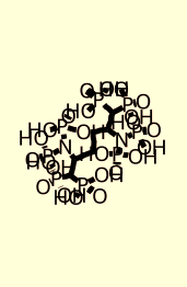 O=P(O)(O)C(C(CCC(C(P(=O)(O)O)P(=O)(O)O)N(P(=O)(O)O)P(=O)(O)O)N(P(=O)(O)O)P(=O)(O)O)P(=O)(O)O